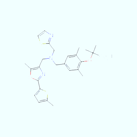 Cc1ccc(-c2nc(CN(Cc3cc(C)c(OC(C)(C)C(=O)O)c(C)c3)Cc3nccs3)c(C)o2)s1